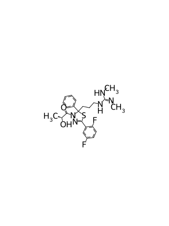 C/N=C(/NC)NCCCC1(c2ccccc2)SC(c2cc(F)ccc2F)=NN1C(=O)[C@H](C)O